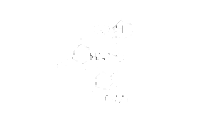 COc1ccc(NC(=O)C(c2ccccc2)C(C(=O)O)c2ccc(Cl)cc2)cc1